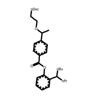 CCCCCCCCCCCCOC(C)c1ccc(C(=O)Oc2ccccc2C(CCC)CCCC)cc1